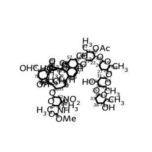 COC(=O)N[C@H]1[C@@H](C)O[C@@H](O[C@H]2C/C=C(\C)[C@H]3C=C[C@@H]4[C@@H](O[C@H]5C[C@@H](O[C@H]6CCC(O[C@H]7C[C@@H](O)C(O[C@H]8CC[C@@H](O)[C@H](C)O8)[C@H](C)O7)[C@H](C)O6)[C@@H](OC(C)=O)[C@H](C)O5)[C@@H](C)C[C@H](C)[C@H]4[C@]3(C)C(=O)C3=C(O)[C@@]4(CC(C=O)C[C@@H](O)[C@H]4/C=C/2C)OC3=O)C[C@]1(C)[N+](=O)[O-]